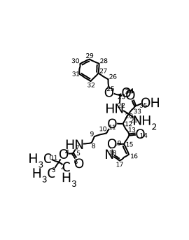 CC(C)(C)OC(=O)NCCCOC(C(=O)c1ccno1)C(N)(NC(=O)OCc1ccccc1)C(=O)O